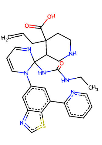 C=CCC1(C(=O)O)CCNCC1C1(NC(=O)NCC)N=CC=CN1c1cc(-c2ccccn2)c2scnc2c1